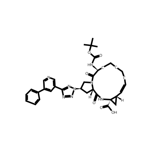 CC(C)(C)OC(=O)N[C@H]1CCCCC/C=C\[C@@H]2C[C@@]2(C(=O)O)NC(=O)[C@@H]2C[C@@H](n3nnc(-c4cncc(-c5ccccc5)c4)n3)CN2C1=O